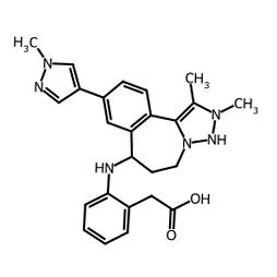 CC1=C2c3ccc(-c4cnn(C)c4)cc3C(Nc3ccccc3CC(=O)O)CCN2NN1C